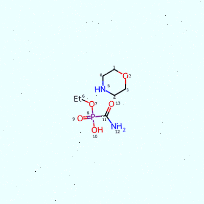 C1COCCN1.CCOP(=O)(O)C(N)=O